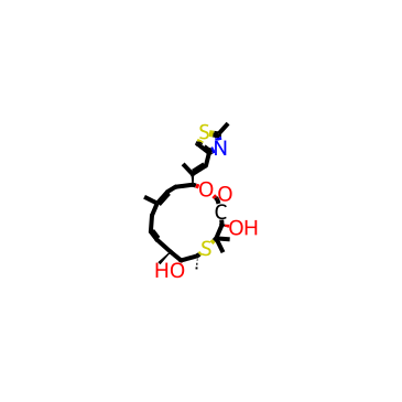 C/C1=C/C[C@@H](/C(C)=C/c2csc(C)n2)OC(=O)C[C@@H](O)C(C)(C)S[C@H](C)[C@@H](O)[C@@H](C)/C=C\C1